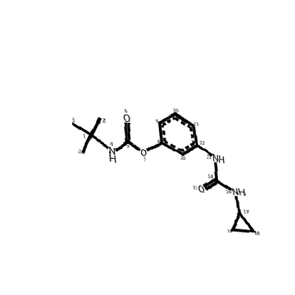 CC(C)(C)NC(=O)Oc1cccc(NC(=O)NC2CC2)c1